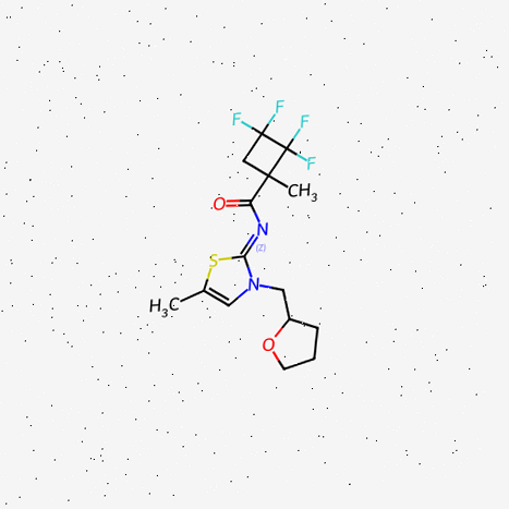 Cc1cn(CC2CCCO2)/c(=N/C(=O)C2(C)CC(F)(F)C2(F)F)s1